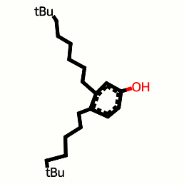 CC(C)(C)CCCCCCc1cc(O)ccc1CCCCCC(C)(C)C